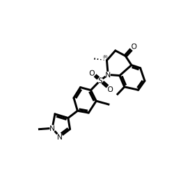 Cc1cc(-c2cnn(C)c2)ccc1S(=O)(=O)N1c2c(C)cccc2C(=O)C[C@H]1C